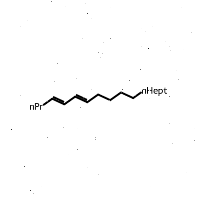 [CH2]CCCCCCCCCCC=CC=CCCC